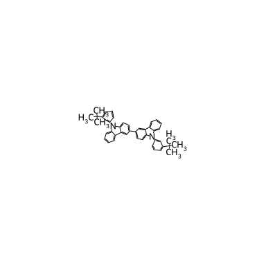 CC(C)(C)c1cccc(-n2c3ccccc3c3cc(-c4ccc5c(c4)c4ccccc4n5-c4cccc(C(C)(C)C)c4)ccc32)c1